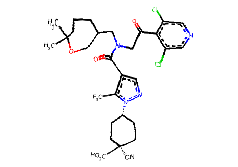 CC1(C)CCC(CN(CC(=O)c2c(Cl)cncc2Cl)C(=O)c2cnn([C@H]3CC[C@](C#N)(C(=O)O)CC3)c2C(F)(F)F)CO1